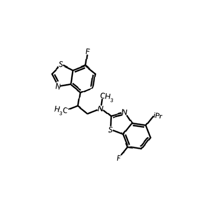 CC(C)c1ccc(F)c2sc(N(C)CC(C)c3ccc(F)c4scnc34)nc12